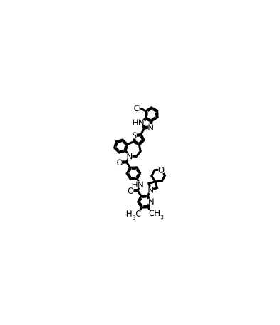 Cc1cc(C(=O)Nc2ccc(C(=O)N3CCc4cc(-c5nc6cccc(Cl)c6[nH]5)sc4-c4ccccc43)cc2)c(N2CC3(CCOCC3)C2)nc1C